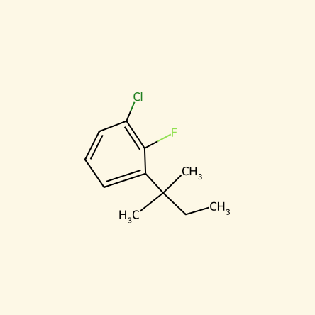 CCC(C)(C)c1cccc(Cl)c1F